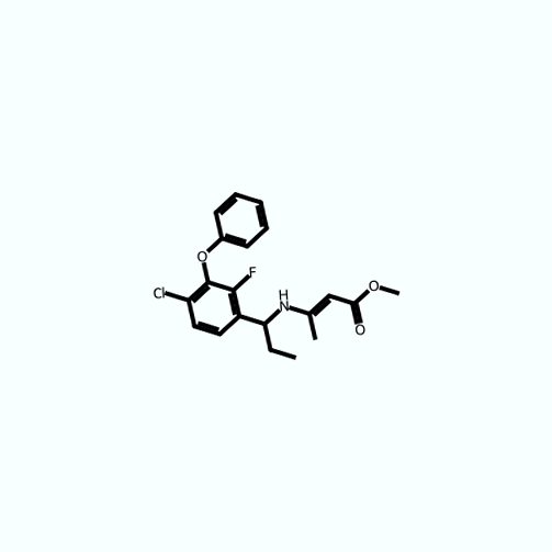 CCC(N/C(C)=C/C(=O)OC)c1ccc(Cl)c(Oc2ccccc2)c1F